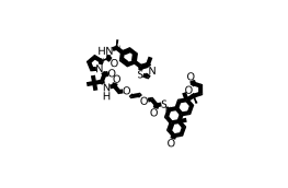 Cc1ncsc1-c1ccc([C@H](C)NC(=O)[C@@H]2CCCN2C(=O)C(NC(=O)COCCOCC(=O)S[C@@H]2CC3=CC(=O)CCC3(C)C3CCC(C)([C@@]4(C)CCC(=O)O4)CC32)C(C)(C)C)cc1